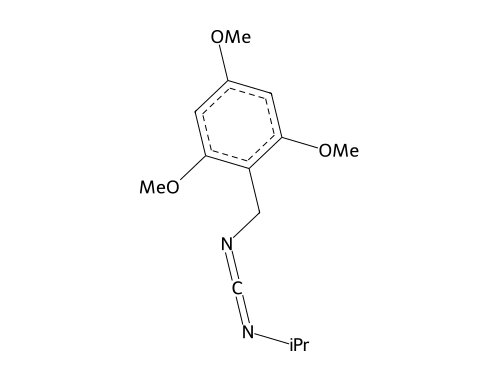 COc1cc(OC)c(CN=C=NC(C)C)c(OC)c1